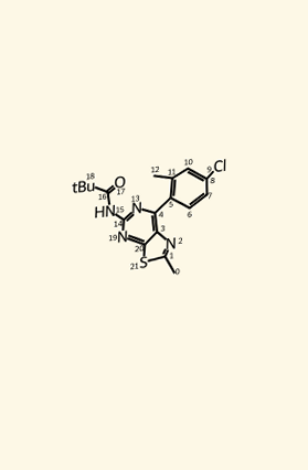 Cc1nc2c(-c3ccc(Cl)cc3C)nc(NC(=O)C(C)(C)C)nc2s1